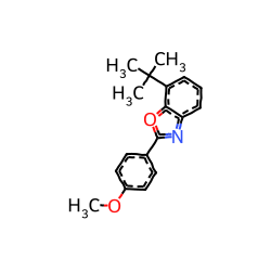 COc1ccc(-c2nc3cccc(C(C)(C)C)c3o2)cc1